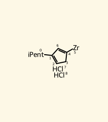 CCCC(C)C1=CC[C]([Zr])=C1.Cl.Cl